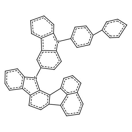 c1ccc(-c2ccc(-n3c4ccccc4c4cc(-n5c6ccccc6c6ccc7c(c65)-c5cccc6cccc-7c56)ccc43)cc2)cc1